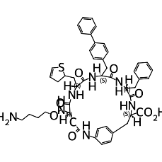 NCCCCON[C@@H]1CC(=O)Nc2ccc(cc2)C[C@@H](C(=O)O)NC(=O)[C@@H](Cc2ccccc2)NC(=O)[C@H](Cc2ccc(-c3ccccc3)cc2)NC(=O)[C@@H](CC2CC=CS2)NC1=O